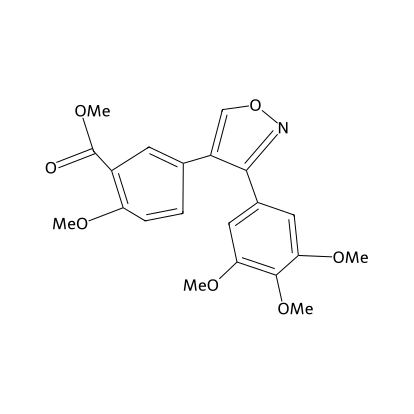 COC(=O)c1cc(-c2conc2-c2cc(OC)c(OC)c(OC)c2)ccc1OC